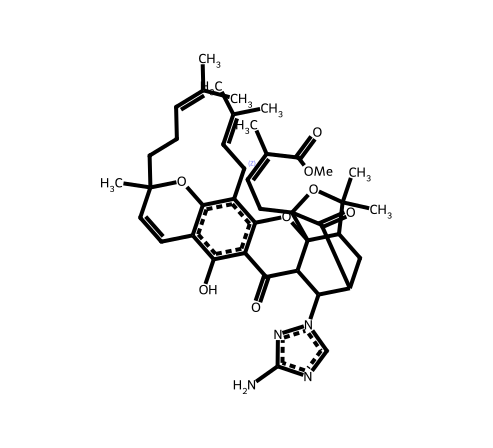 COC(=O)/C(C)=C\CC12OC(C)(C)C3CC(C1=O)C(n1cnc(N)n1)C1C(=O)c4c(O)c5c(c(CC=C(C)C)c4OC132)OC(C)(CCC=C(C)C)C=C5